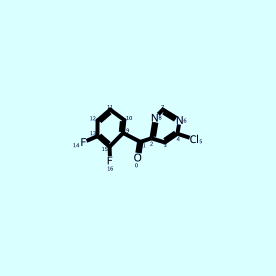 O=C(c1cc(Cl)ncn1)c1cccc(F)c1F